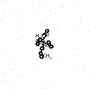 C\C=c1/c(=C\C=C\c2ccc3oc4ccccc4c3c2-c2nc(-c3ccc(-c4ccc5c(c4)C(C)CC=C5)cc3)nc(-c3cccc4c3oc3ccccc34)n2)oc2ccccc12